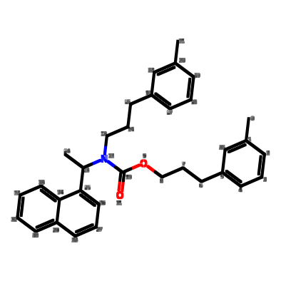 Cc1cccc(CCCOC(=O)N(CCCc2cccc(C)c2)C(C)c2cccc3ccccc23)c1